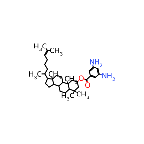 CC(C)=CCCCC(C)C1CCC2C3CCC4C(C)(C)CC(OC(=O)c5cc(N)cc(N)c5)CC4(C)C3CCC12C